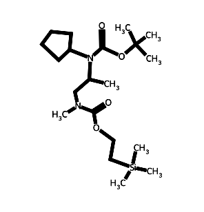 CC(CN(C)C(=O)OCC[Si](C)(C)C)N(C(=O)OC(C)(C)C)C1CCCC1